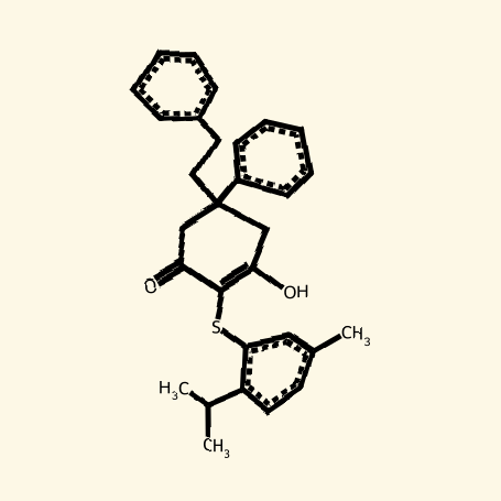 Cc1ccc(C(C)C)c(SC2=C(O)CC(CCc3ccccc3)(c3ccccc3)CC2=O)c1